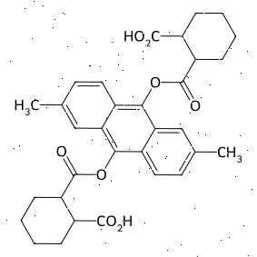 Cc1ccc2c(OC(=O)C3CCCCC3C(=O)O)c3cc(C)ccc3c(OC(=O)C3CCCCC3C(=O)O)c2c1